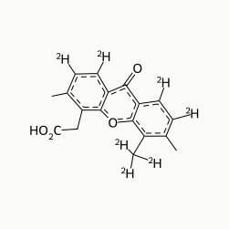 [2H]c1c(C)c(CC(=O)O)c2oc3c(C([2H])([2H])[2H])c(C)c([2H])c([2H])c3c(=O)c2c1[2H]